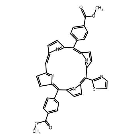 COC(=O)c1ccc(C2=C3C=CC(=N3)C=C3C=CC(=N3)C(c3ccc(C(=O)OC)cc3)=C3C=CC(=N3)C(c3nccs3)=C3C=CC2=N3)cc1